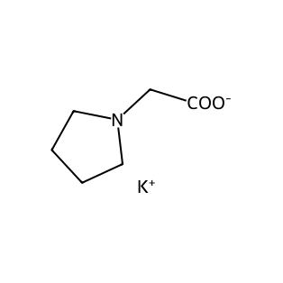 O=C([O-])CN1CCCC1.[K+]